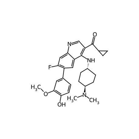 COc1cc(-c2cc3c(N[C@H]4CC[C@H](N(C)C)CC4)c(C(=O)C4CC4)cnc3cc2F)ccc1O